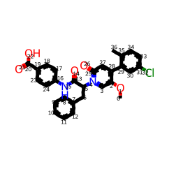 COc1cn(C(Cc2ccccc2)C(=O)Nc2ccc(C(=O)O)cc2)c(=O)cc1-c1cc(Cl)ccc1C